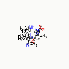 CC(C)(C)CN.COc1c(C#N)cc(C(C)(C)C)cc1NC(=O)c1ccc(C)c(-n2cnc(C(=O)O)c2)c1